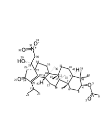 CC(=O)O[C@H]1CC[C@@]2(C)[C@@H](CC[C@]3(C)[C@]2(C)CC[C@@H]2C4=C(C(C)C)C(=O)C[C@]4([C@H](O)C[N+](=O)[O-])CC[C@]23C)C1(C)C